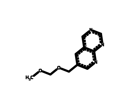 COCOCc1cnc2ncncc2c1